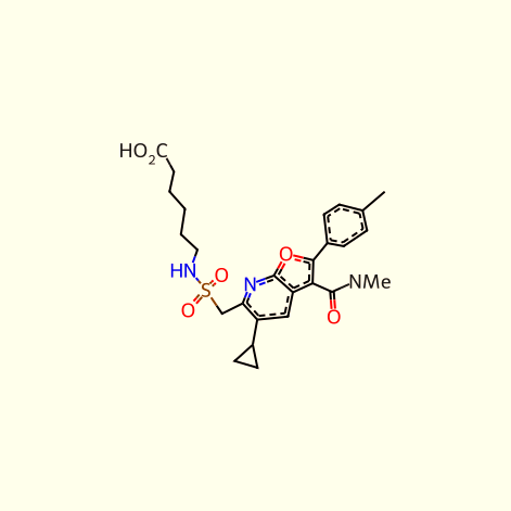 CNC(=O)c1c(-c2ccc(C)cc2)oc2nc(CS(=O)(=O)NCCCCCC(=O)O)c(C3CC3)cc12